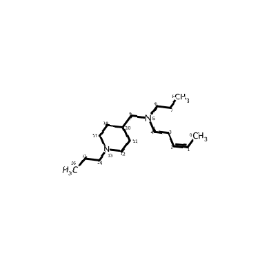 C/C=C\CCN(CCC)CC1CCN(CCC)CC1